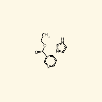 CCOC(=O)c1cccnc1.c1c[nH]cn1